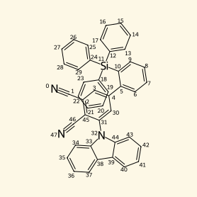 N#Cc1cc(-c2ccccc2[Si](c2ccccc2)(c2ccccc2)c2ccccc2)cc(-n2c3ccccc3c3ccccc32)c1C#N